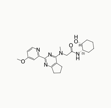 COc1ccnc(-c2nc3c(c(N(C)CC(=O)N[C@H]4CCCC[C@H]4O)n2)CCC3)c1